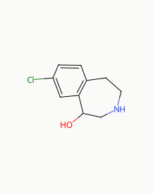 OC1CNCCc2ccc(Cl)cc21